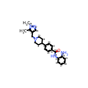 Cc1c(CN2CCC(c3ccc(C(=O)Nc4ccccc4N)cc3)CC2)cnn1C